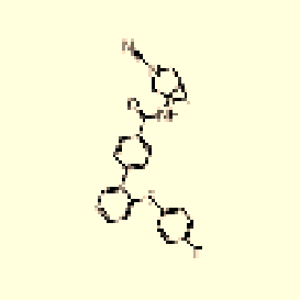 N#CN1CC2C[C@]2(NC(=O)c2ccc(-c3ccccc3Sc3ccc(F)cc3)cc2)C1